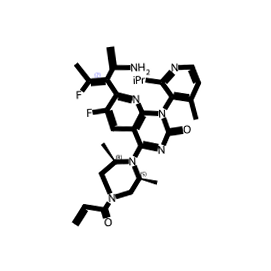 C=CC(=O)N1C[C@@H](C)N(c2nc(=O)n(-c3c(C)ccnc3C(C)C)c3nc(/C(C(=C)N)=C(/C)F)c(F)cc23)[C@@H](C)C1